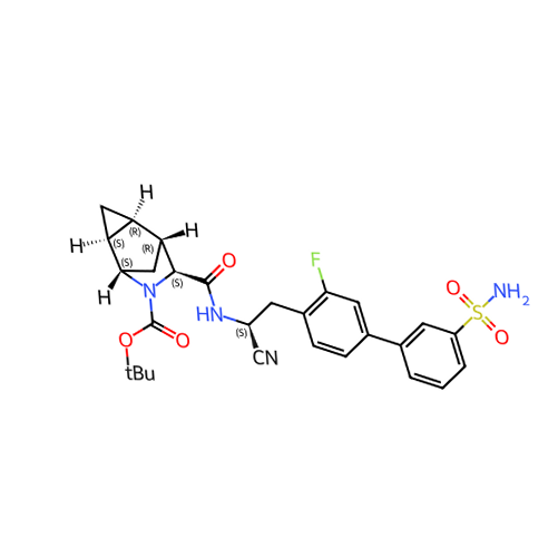 CC(C)(C)OC(=O)N1[C@H](C(=O)N[C@H](C#N)Cc2ccc(-c3cccc(S(N)(=O)=O)c3)cc2F)[C@@H]2C[C@H]1[C@H]1C[C@@H]21